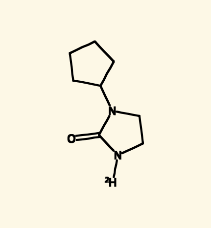 [2H]N1CCN(C2CCCC2)C1=O